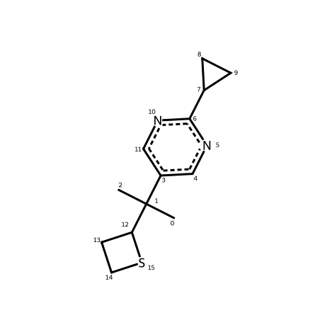 CC(C)(c1cnc(C2CC2)nc1)C1CCS1